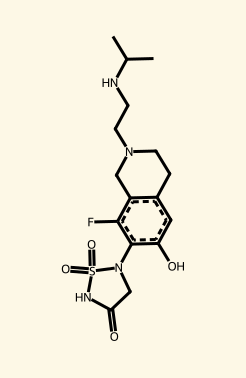 CC(C)NCCN1CCc2cc(O)c(N3CC(=O)NS3(=O)=O)c(F)c2C1